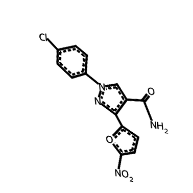 NC(=O)c1cn(-c2ccc(Cl)cc2)nc1-c1ccc([N+](=O)[O-])o1